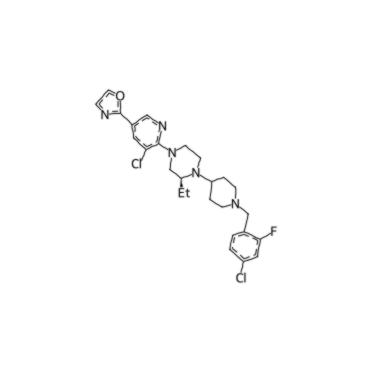 CC[C@H]1CN(c2ncc(-c3ncco3)cc2Cl)CCN1C1CCN(Cc2ccc(Cl)cc2F)CC1